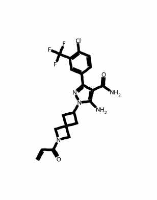 C=CC(=O)N1CC2(CC(n3nc(-c4ccc(Cl)c(C(F)(F)F)c4)c(C(N)=O)c3N)C2)C1